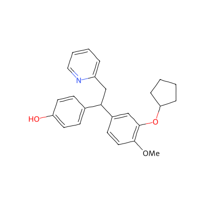 COc1ccc(C(Cc2ccccn2)c2ccc(O)cc2)cc1OC1CCCC1